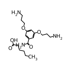 CCCCCC(=O)O.NCCCOc1cc(OCCCN)cc(C(N)=O)c1